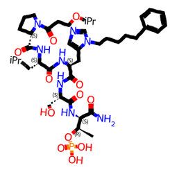 CC(C)C[C@H](NC(=O)[C@@H]1CCCN1C(=O)CCOC(C)C)C(=O)N[C@@H](Cc1cncn1CCCCCc1ccccc1)C(=O)N[C@@H](CO)C(=O)N[C@H](C(N)=O)[C@@H](C)OP(=O)(O)O